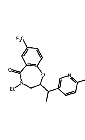 CCN1CC(C(C)c2ccc(C)nc2)Oc2ccc(C(F)(F)F)cc2C1=O